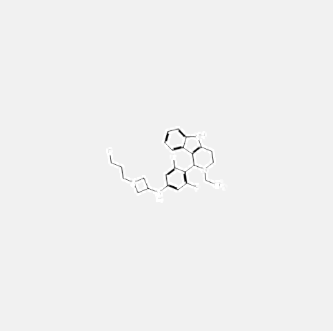 FCCCN1CC(Nc2cc(F)c(C3c4c([nH]c5ccccc45)CCN3CC(F)(F)F)c(F)c2)C1